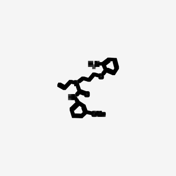 C=CCN(CCCOc1ccccc1N)C(=O)Nc1cccc(OC)c1